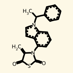 C=C1C(=O)SC(=O)N1c1cccc2c1ccn2C(C)c1ccccc1